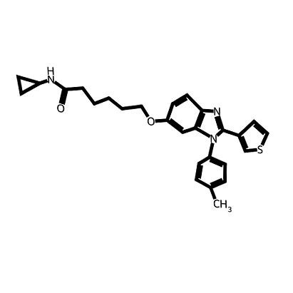 Cc1ccc(-n2c(-c3ccsc3)nc3ccc(OCCCCCC(=O)NC4CC4)cc32)cc1